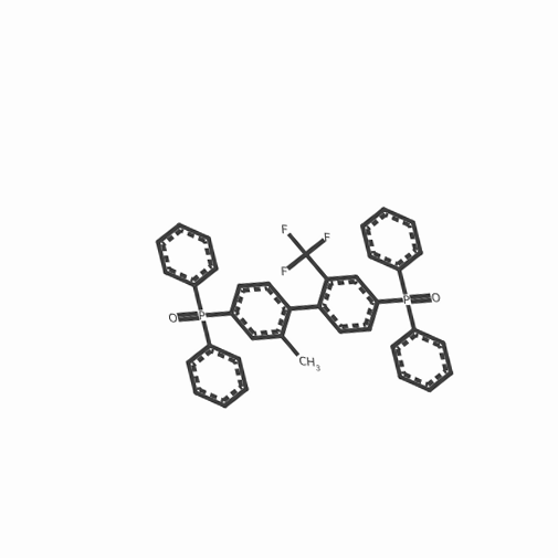 Cc1cc(P(=O)(c2ccccc2)c2ccccc2)ccc1-c1ccc(P(=O)(c2ccccc2)c2ccccc2)cc1C(F)(F)F